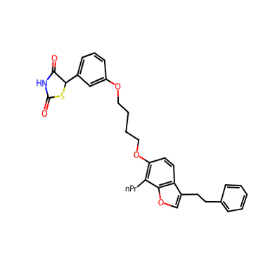 CCCc1c(OCCCCOc2cccc(C3SC(=O)NC3=O)c2)ccc2c(CCc3ccccc3)coc12